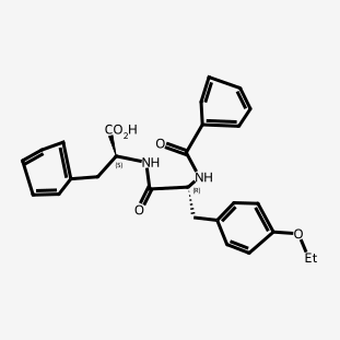 CCOc1ccc(C[C@@H](NC(=O)c2ccccc2)C(=O)N[C@@H](Cc2ccccc2)C(=O)O)cc1